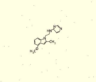 COc1cccc2c1cc(C)n2CCNc1ccncn1